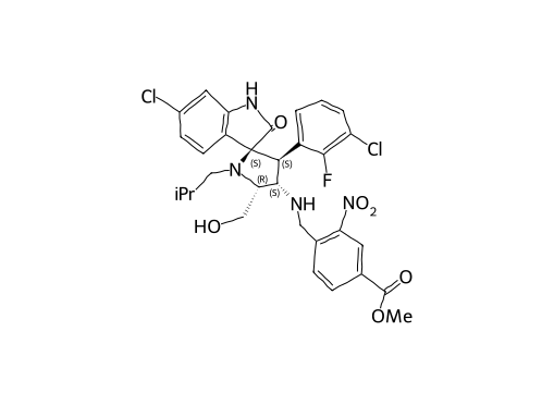 COC(=O)c1ccc(CN[C@@H]2[C@H](CO)N(CC(C)C)[C@@]3(C(=O)Nc4cc(Cl)ccc43)[C@H]2c2cccc(Cl)c2F)c([N+](=O)[O-])c1